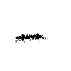 CC(C)(C)Oc1ccc(-c2c3ccccc3c(-c3ccc4c(c3)C(C)(C)c3cc(-c5ccc6c(c5)C(C)(C)c5cc(-c7c8ccccc8c(-c8ccc9c(c8)C(C)(C)c8ccccc8-9)c8ccccc78)ccc5-6)ccc3-4)c3ccccc23)cc1